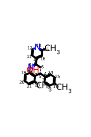 Cc1ccc([C@@H](C/C(=N\O)c2ccnc(C)c2)c2ccccc2C)cc1